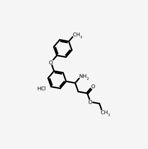 CCOC(=O)CC(N)c1cccc(Oc2ccc(C)cc2)c1.Cl